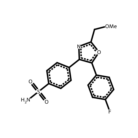 COCc1nc(-c2ccc(S(N)(=O)=O)cc2)c(-c2ccc(F)cc2)o1